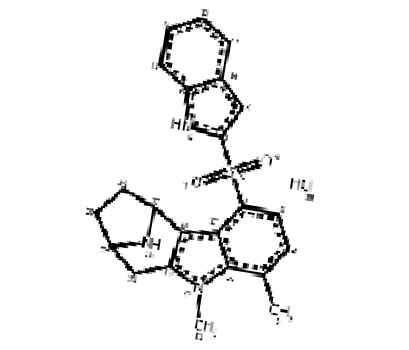 Cc1ccc(S(=O)(=O)c2cc3ccccc3[nH]2)c2c3c(n(C)c12)CC1CCC3N1.Cl